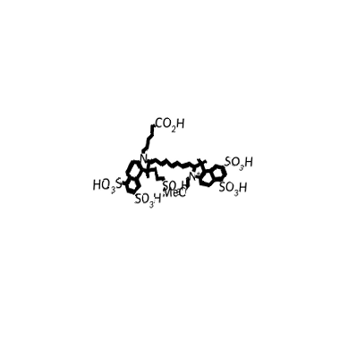 COCC[N+]1=C(/C=C/C=C/C=C/C=C2/N(CCCCCC(=O)O)c3ccc4c(S(=O)(=O)O)cc(S(=O)(=O)O)cc4c3C2(C)CCCS(=O)(=O)O)C(C)(C)c2c1ccc1c(S(=O)(=O)O)cc(S(=O)(=O)O)cc21